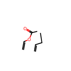 C=CCC.C=COC(C)=O